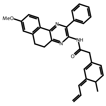 C=C/C=C1/C=C(CC(=O)Nc2nc3c(nc2-c2ccccc2)-c2ccc(OC)cc2CC3)C=CC1C